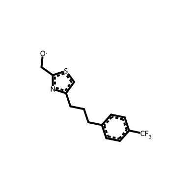 [O]Cc1nc(CCCc2ccc(C(F)(F)F)cc2)cs1